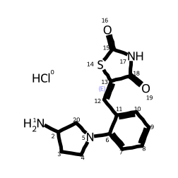 Cl.NC1CCN(c2ccccc2/C=C2/SC(=O)NC2=O)C1